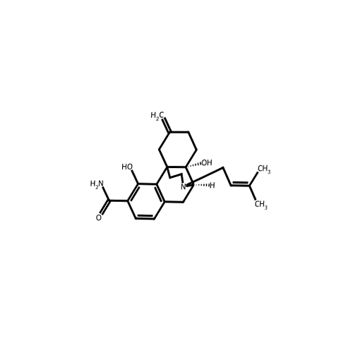 C=C1CC[C@@]2(O)[C@H]3Cc4ccc(C(N)=O)c(O)c4C2(CCN3CC=C(C)C)C1